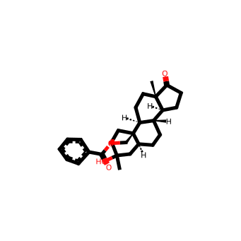 CC1(O)CC[C@@]2(COC(=O)c3ccccc3)[C@@H](CC[C@@H]3[C@@H]2CC[C@]2(C)C(=O)CC[C@@H]32)C1